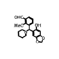 COc1c(C=O)cccc1C(c1cc2c(cc1O)OCO2)N1CCCCC1